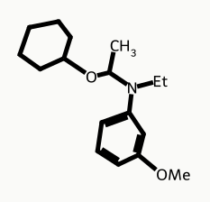 CCN(c1cccc(OC)c1)C(C)OC1CCCCC1